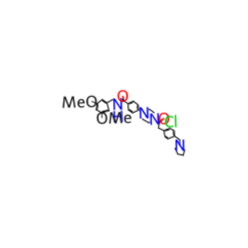 COc1cc(CNC(=O)c2ccc(N3CCN(C(=O)Cc4ccc(CN5CCCC5)cc4Cl)CC3)cc2)cc(OC)c1